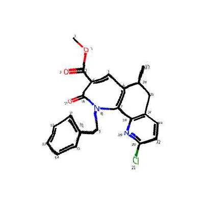 COC(=O)c1cc2c(n(Cc3ccccc3)c1=O)-c1nc(Cl)ccc1CC2C